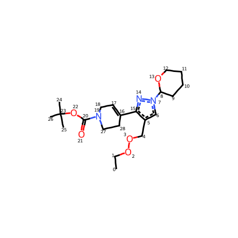 CCOOCc1cn(C2CCCCO2)nc1C1=CCN(C(=O)OC(C)(C)C)CC1